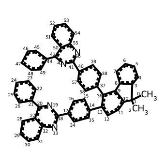 CC1(C)c2ccccc2-c2c1ccc(-c1ccc(-c3nc(-c4ccccc4)c4ccccc4n3)cc1)c2-c1ccc(-c2nc(-c3ccccc3)c3ccccc3n2)cc1